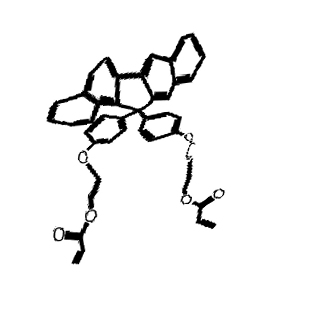 C=CC(=O)OCCOc1ccc(C2(c3ccc(OCCOC(=O)C=C)cc3)c3cc4ccccc4cc3-c3ccc4ccccc4c32)cc1